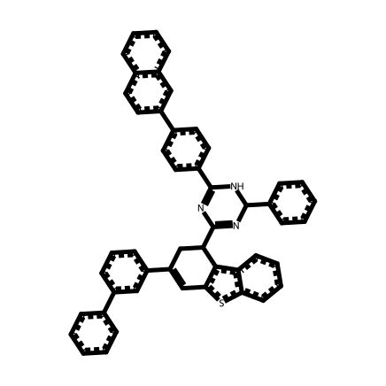 C1=C(c2cccc(-c3ccccc3)c2)CC(C2=NC(c3ccccc3)NC(c3ccc(-c4ccc5ccccc5c4)cc3)=N2)c2c1sc1ccccc21